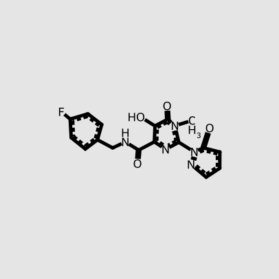 Cn1c(-n2ncccc2=O)nc(C(=O)NCc2ccc(F)cc2)c(O)c1=O